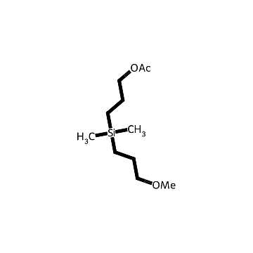 COCCC[Si](C)(C)CCCOC(C)=O